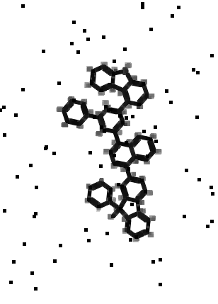 CC1(c2ccccc2)c2ccccc2-c2ccc(-c3ccc(-c4cc(-c5cccc6sc7ccccc7c56)nc(-c5ccccc5)n4)c4ccccc34)cc21